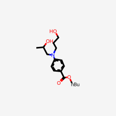 CCCCOC(=O)c1ccc(N(CCCO)CC(C)O)cc1